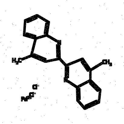 Cc1cc(-c2cc(C)c3ccccc3n2)nc2ccccc12.[Cl-].[Cl-].[Pd+2]